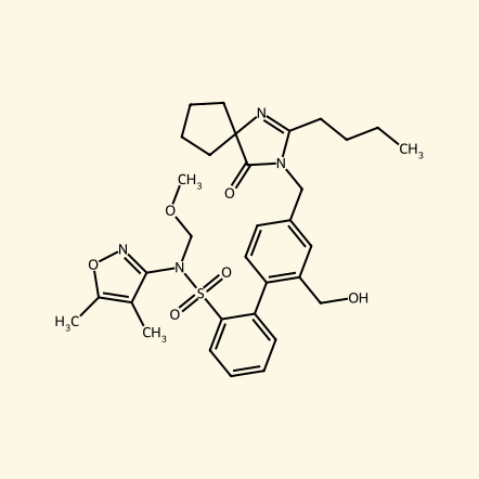 CCCCC1=NC2(CCCC2)C(=O)N1Cc1ccc(-c2ccccc2S(=O)(=O)N(COC)c2noc(C)c2C)c(CO)c1